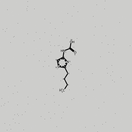 CCCCc1nc(NC(=O)O)cs1